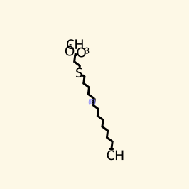 C#CCCCCCCC/C=C/CCCCSCCC(=O)OC